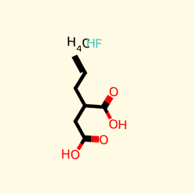 C.C=CCC(CC(=O)O)C(=O)O.F